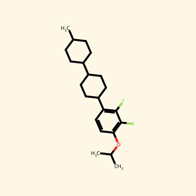 CC1CCC(C2CCC(c3ccc(OC(C)C)c(F)c3F)CC2)CC1